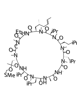 C/C=C/C[C@@H](C)C[C@@H]1C(=O)N[C@H](CC)C(=O)N(C)CC(=O)N(C)[C@@H](CC(C)(C)OCSC)C(=O)N[C@H](C(C)C)C(=O)N(C)[C@H](CC(C)C)C(=O)N[C@H](C)C(=O)N[C@@H](C)C(=O)N(C)[C@@H](CC(C)C)C(=O)N(C)[C@H](CCC(C)C)C(=O)N(C)[C@H](C(C)C)C(=O)N1C